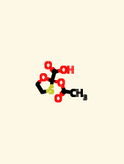 CC(=O)O[C@]1(C(=O)O)OCCS1